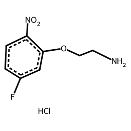 Cl.NCCOc1cc(F)ccc1[N+](=O)[O-]